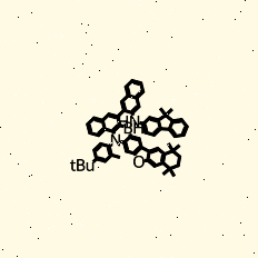 Cc1cc(C(C)(C)C)ccc1N1c2cc3oc4cc5c(cc4c3cc2Bc2c(-c3cc4ccccc4cc3Nc3ccc4c(c3)C(C)(C)c3ccccc3-4)cc3ccccc3c21)C(C)(C)CCC5(C)C